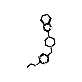 CCSc1ncc(CN2CCN(c3nc4c(o3)=CCCC=4)CC2)cn1